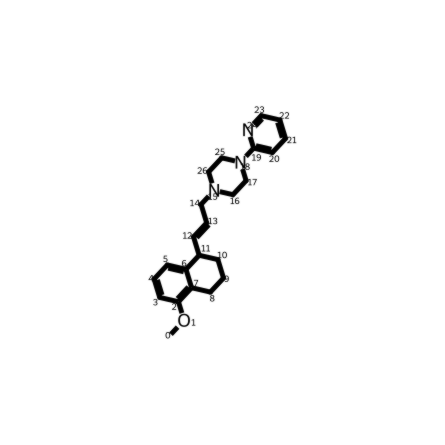 COc1cccc2c1CCCC2C=CCN1CCN(c2ccccn2)CC1